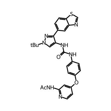 CC(=O)Nc1cc(Oc2ccc(NC(=O)Nc3cn(C(C)(C)C)nc3-c3ccc4scnc4c3)cc2)ccn1